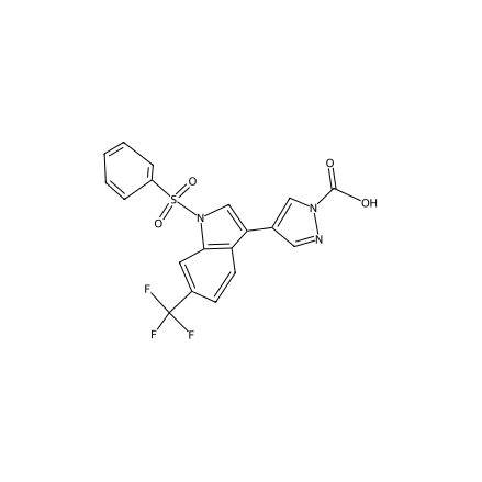 O=C(O)n1cc(-c2cn(S(=O)(=O)c3ccccc3)c3cc(C(F)(F)F)ccc23)cn1